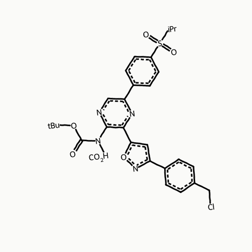 CC(C)S(=O)(=O)c1ccc(-c2cnc(N(C(=O)O)C(=O)OC(C)(C)C)c(-c3cc(-c4ccc(CCl)cc4)no3)n2)cc1